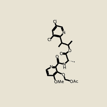 COc1ccnc(C(=O)N[C@@H](C)C(=O)OC(C)C(C)c2ncc(Cl)cc2Cl)c1OCOC(C)=O